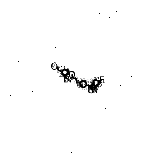 O=CCc1ccc(OCCCN2CCC(c3onc4cc(F)ccc34)CC2)c(Br)c1